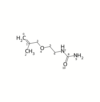 C=C(C)COCCNC(N)=O